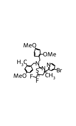 COc1ccc(CN(Cc2ccc(OC)cc2OC)C2=N[C@](C)(c3cc(Br)ccn3)C[C@@H](C(F)F)S2)c(C)c1